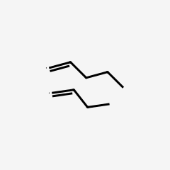 [CH]=CCC.[CH]=CCCC